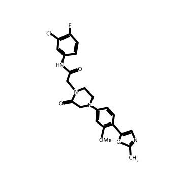 COc1cc(N2CCN(CC(=O)Nc3ccc(F)c(Cl)c3)C(=O)C2)ccc1-c1cnc(C)o1